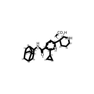 O=C(O)C[C@@]1(c2ccc(C(=O)NC3C4CC5CC(C4)CC3C5)c(C3CC3)n2)CCCNC1